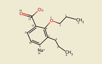 CCCOc1c(CCC)cccc1C(=O)[O-].[Na+]